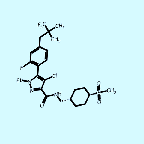 CCn1nc(C(=O)NC[C@H]2CC[C@H](S(C)(=O)=O)CC2)c(Cl)c1-c1ccc(CC(C)(C)C(F)(F)F)cc1F